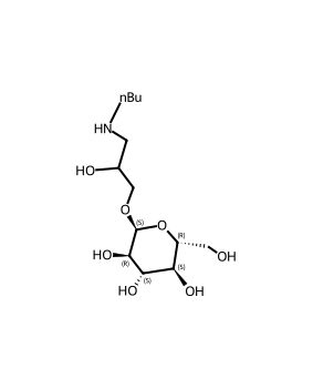 CCCCNCC(O)CO[C@H]1O[C@H](CO)[C@@H](O)[C@H](O)[C@H]1O